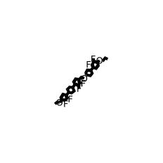 CCCOc1ccc(C2=CCC(OCc3ccc(C4CCC(c5ccc(OCC)c(F)c5F)CC4)c(F)c3F)CC2)c(F)c1F